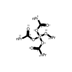 CCCC(=O)[O][Zr]([O]C(=O)CCC)([O]C(=O)CCC)[O]C(C)C